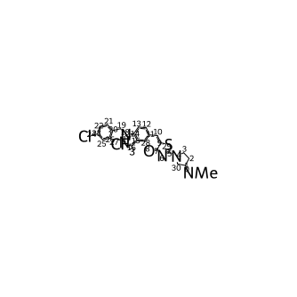 CNC1CCN(C2=NC(=O)C(=Cc3ccc4c(cnn4Cc4ccc(Cl)cc4C(F)(F)F)c3)S2)C1